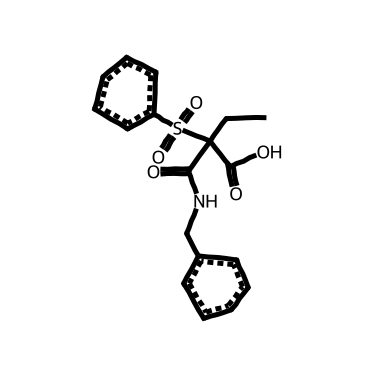 CCC(C(=O)O)(C(=O)NCc1ccccc1)S(=O)(=O)c1ccccc1